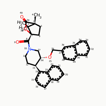 CC1(C)[C@@]2(C)CC[C@]1(C(=O)N1CC[C@H](c3cccc4ccccc34)[C@@H](OCc3ccc4ccccc4c3)C1)OC2=O